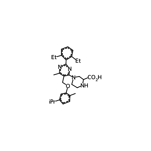 CCc1cccc(CC)c1-c1nc(C)c(COc2cc(C(C)C)ccc2C)c(N2CCNC(C(=O)O)C2)n1